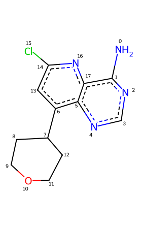 Nc1ncnc2c(C3CCOCC3)cc(Cl)nc12